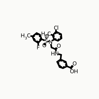 Cc1ccc(S(=O)(=O)N(CC(=O)NCc2cccc(C(=O)O)c2)c2cccc(Cl)c2C)c(F)c1